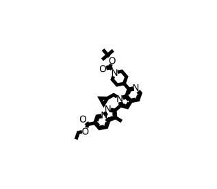 CCOC(=O)c1ccc2c(C)c(-c3cc4ccnc(C5CCN(C(=O)OC(C)(C)C)CC5)c4n3CC3CC3)nn2c1